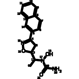 CC(C1CC(c2ccc3ccccc3c2)=NO1)N(O)C(N)=O